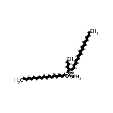 CCCCCCCCCCCCCCCCCCO[Si](CCCCCC)(OC)OCCCCCCCCCCCCCCCCCC